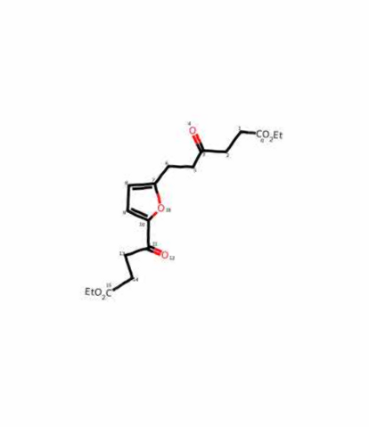 CCOC(=O)CCC(=O)CCc1ccc(C(=O)CCC(=O)OCC)o1